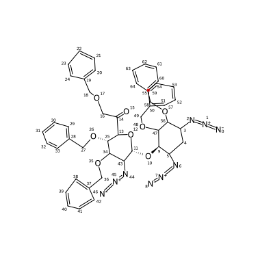 [N-]=[N+]=NC1CC(N=[N+]=[N-])[C@@H](O[C@H]2OC(C(=O)COCc3ccccc3)[C@@H](OCc3ccccc3)C(OCc3ccccc3)C2N=[N+]=[N-])C(OCc2ccccc2)C1OCc1ccccc1